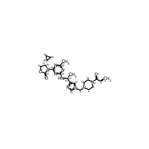 C=CC(=O)N1CCN(Cn2cnc([C@H](C)Nc3nc(C)nc(N4C(=O)OC[C@@H]4C4CC4)n3)c2)CC1